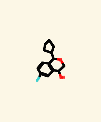 OC1COC(C2CCCC2)c2ccc(F)cc21